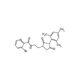 Cc1cc(C)c(C2C(=O)CC(CCNC(=O)c3ncccc3Br)C2=O)c(C)c1